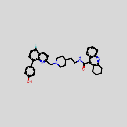 O=C(NCCC1CCN(Cc2ccc3c(F)ccc(-c4ccc(O)cc4)c3n2)CC1)c1c2c(nc3ccccc13)CCCC2